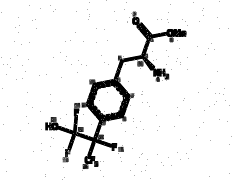 COC(=O)[C@@H](N)Cc1ccc(C(F)(C(O)(F)F)C(F)(F)F)cc1